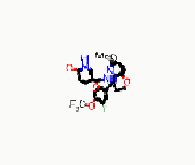 COc1ccc2c(n1)C(NC(=O)c1ccc(=O)[nH]c1)(c1ccc(OC(F)(F)F)c(F)c1)CCO2